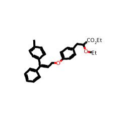 CCOC(=O)C(Cc1ccc(OCC=C(c2ccccc2)c2ccc(C)cc2)cc1)OCC